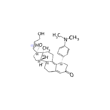 CN(C)c1ccc([C@@H]2CC(=O)C=C3CC[C@@H]4C(=C32)CC[C@@]2(C)[C@H]4CC[C@@]2(O)/C=C\CO)cc1